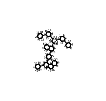 c1ccc(-c2cccc(-c3nc(-c4cccc(-c5ccccc5)c4)nc(-c4ccc(-c5ccc(-c6cc(-c7ccccc7)nc7ccc8ccccc8c67)cc5)c5ccccc45)n3)c2)cc1